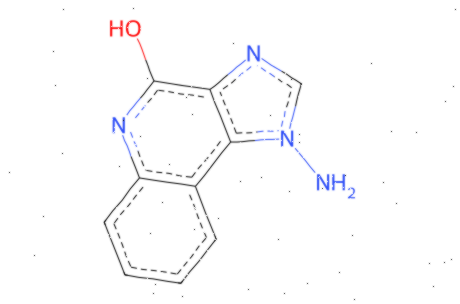 Nn1cnc2c(O)nc3ccccc3c21